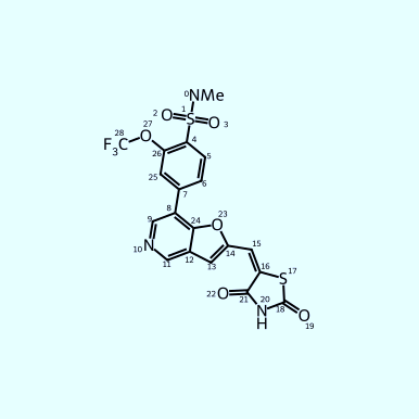 CNS(=O)(=O)c1ccc(-c2cncc3cc(/C=C4/SC(=O)NC4=O)oc23)cc1OC(F)(F)F